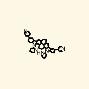 C1=CNC(n2c3ccc(-c4ccncc4)cc3c3cc4c5c(c32)CCc2c-5c(cc3c5cc(-c6ccncc6)ccc5n(-c5ccccn5)c23)CC4)C=C1